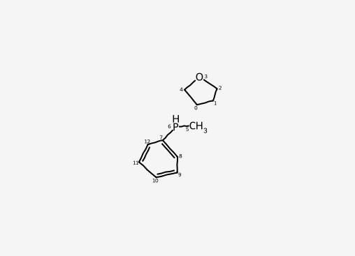 C1CCOC1.CPc1ccccc1